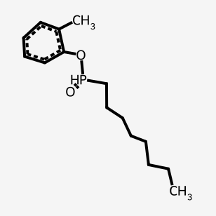 CCCCCCCC[PH](=O)Oc1ccccc1C